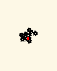 c1ccc(-c2cc3ccccc3c3c(-c4ccc5c(c4)C(c4ccccc4)(c4ccccc4)c4ccccc4-5)c(-c4ccc5ccccc5c4)nn23)cc1